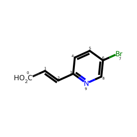 O=C(O)C=Cc1ccc(Br)cn1